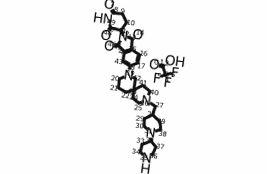 O=C(O)C(F)(F)F.O=C1CCC(N2C(=O)c3ccc(N4CCCC5(CCN(CC6CCN(C7CCNCC7)CC6)CC5)C4)cc3C2=O)C(=O)N1